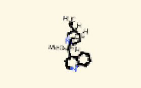 C=C[C@H]1CN2CC[C@H]1C[C@H]2[C@H](OC)c1ccnc2ccccc12